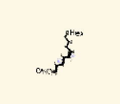 CCCCCCCCC/C=C\C=C\C=CC=O